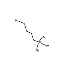 CC(C)SCCC[N+](C(C)C)(C(C)C)C(C)C